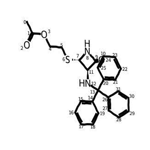 CC(=O)OCCS[C@@H]1NC(=O)[C@H]1NC(c1ccccc1)(c1ccccc1)c1ccccc1